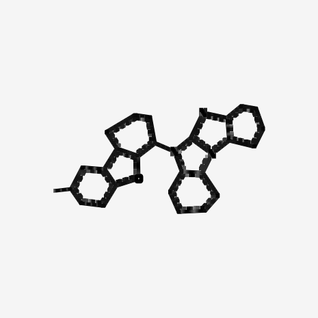 Cc1ccc2oc3c(-n4c5ccccc5n5c6ccccc6nc45)cccc3c2c1